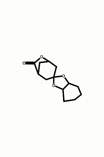 O=C1OC2CC1CC1(C2)OC2CCCCC2O1